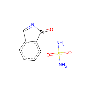 NS(N)(=O)=O.O=[Se]1N=Cc2ccccc21